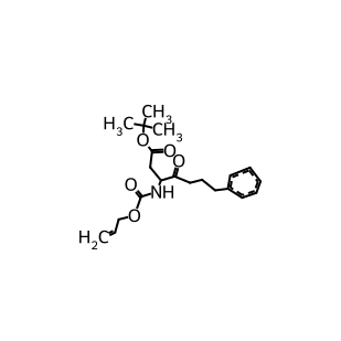 C=CCOC(=O)NC(CC(=O)OC(C)(C)C)C(=O)CCCc1ccccc1